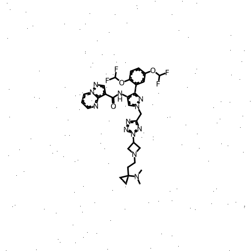 CN(C)C1(CCN2CC(n3nnc(Cn4cc(NC(=O)c5cnn6cccnc56)c(-c5cc(OC(F)F)ccc5OC(F)F)n4)n3)C2)CC1